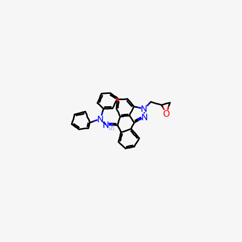 c1ccc(N(/N=C2/c3ccccc3-c3nn(CC4CO4)c4cccc2c34)c2ccccc2)cc1